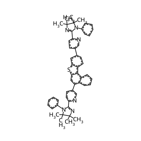 CC1(C)N=C(c2ccc(-c3ccc4c(c3)sc3cc(-c5ccc(C6=NC(C)(C)C(C)(C)N6c6ccccc6)nc5)c5ccccc5c34)cn2)N(c2ccccc2)C1(C)C